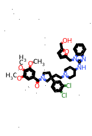 COc1cc(C(=O)N2CCC(CCN3CCC(Nc4nc5ccccc5n4Cc4ccc(CO)o4)CC3)(c3ccc(Cl)c(Cl)c3)C2)cc(OC)c1OC